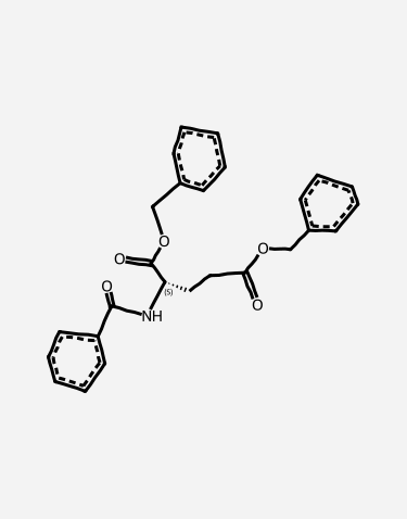 O=C(CC[C@H](NC(=O)c1ccccc1)C(=O)OCc1ccccc1)OCc1ccccc1